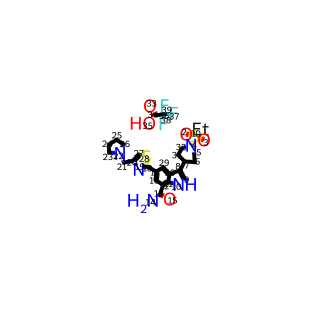 CCS(=O)(=O)N1CCC(c2c[nH]c3c(C(N)=O)cc(-c4nc(CN5CCCC5)cs4)cc23)CC1.O=C(O)C(F)(F)F